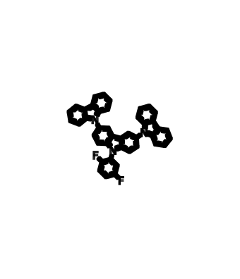 Fc1ccc(F)c(-n2c3ccc(-n4c5ccccc5c5ccccc54)cc3c3cc(-n4c5ccccc5c5ccccc54)ccc32)c1